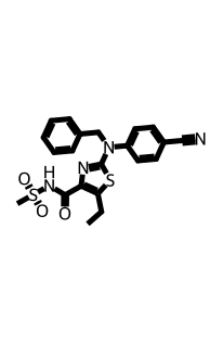 CCc1sc(N(Cc2ccccc2)c2ccc(C#N)cc2)nc1C(=O)NS(C)(=O)=O